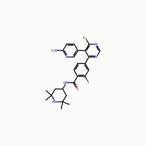 CCc1ncnc(-c2ccc(C(=O)NC3CC(C)(C)NC(C)(C)C3)c(F)c2)c1-c1ccc(N)nc1